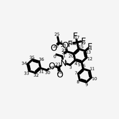 CCN(Cc1c(-c2ccccc2)cc(F)c(C(F)(F)F)c1C(C)OC(C)=O)C(=O)OCc1ccccc1